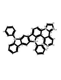 c1ccc(-n2c3ccccc3c3cc4c(cc32)c2ccc3c(c5cnccc5c5nccn35)c2n4-c2ccccc2)cc1